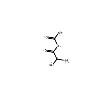 CCCC(=O)OC(=O)C(N)C(C)CC